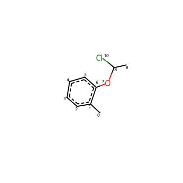 Cc1ccccc1OC(C)Cl